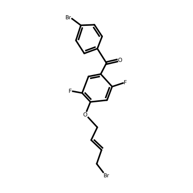 O=C(c1ccc(Br)cc1)c1cc(F)c(OC/C=C/CBr)cc1F